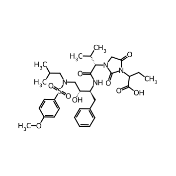 CCC(C(=O)O)N1C(=O)CN([C@H](C(=O)N[C@@H](Cc2ccccc2)[C@H](O)CN(CC(C)C)S(=O)(=O)c2ccc(OC)cc2)C(C)C)C1=O